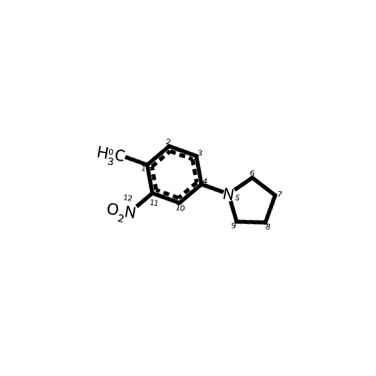 Cc1ccc(N2CCCC2)cc1[N+](=O)[O-]